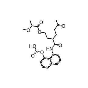 COC(C)C(=O)OCCC(CCC(C)=O)C(=O)Nc1cccc2cccc(OS(=O)O)c12